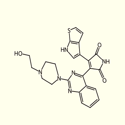 O=C1NC(=O)C(c2c[nH]c3sccc23)=C1c1nc(N2CCN(CCO)CC2)nc2ccccc12